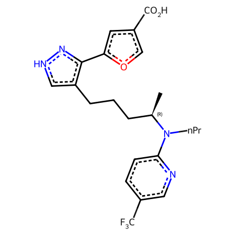 CCCN(c1ccc(C(F)(F)F)cn1)[C@H](C)CCCc1c[nH]nc1-c1cc(C(=O)O)co1